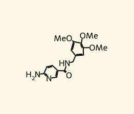 COc1cc(CNC(=O)c2ccc(N)nc2)cc(OC)c1OC